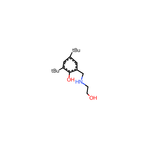 CC(C)(C)c1cc(CNCCO)c(O)c(C(C)(C)C)c1